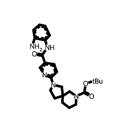 CC(C)(C)OC(=O)N1CCCC2(CCN(c3ccc(C(=O)Nc4ccccc4N)cn3)C2)C1